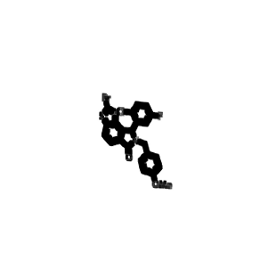 COc1ccc(CN2C(=O)c3ccc4sc(Br)nc4c3C2c2cc(F)ccc2Cl)cc1